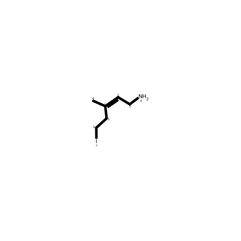 C/C(=C/CN)CCI